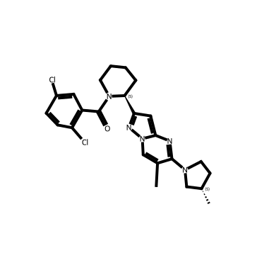 Cc1cn2nc([C@@H]3CCCCN3C(=O)c3cc(Cl)ccc3Cl)cc2nc1N1CC[C@H](C)C1